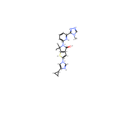 CC(C)n1cnnc1-c1cccc(N2C(=O)c3cc(-n4cnc(C5CC5)c4)sc3C2(C)C)n1